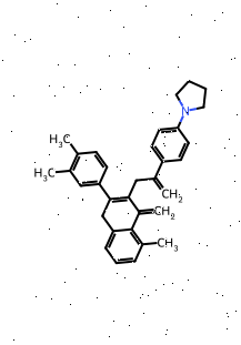 C=C(CC1=C(c2ccc(C)c(C)c2)Cc2cccc(C)c2C1=C)c1ccc(N2CCCC2)cc1